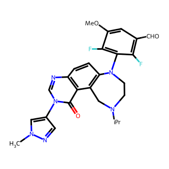 COc1cc(C=O)c(F)c(N2CCN(C(C)C)Cc3c2ccc2ncn(-c4cnn(C)c4)c(=O)c32)c1F